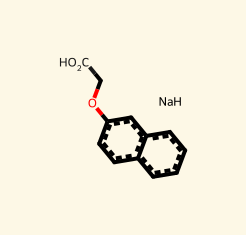 O=C(O)COc1ccc2ccccc2c1.[NaH]